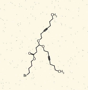 CCCCC#CCCOC(CCC(=O)OCCCCBr)OCCC#CCCCC